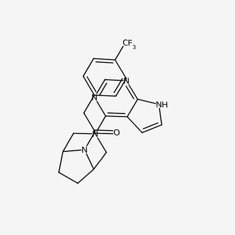 O=C(Cc1ccc(C(F)(F)F)cc1)N1C2CCC1CN(c1ncnc3[nH]ccc13)C2